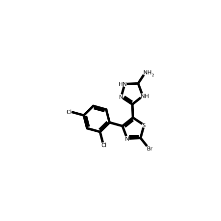 NC1NN=C(c2sc(Br)nc2-c2ccc(Cl)cc2Cl)N1